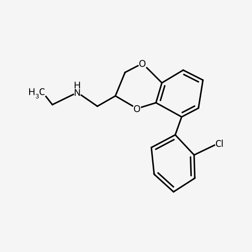 CCNCC1COc2cccc(-c3ccccc3Cl)c2O1